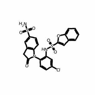 NS(=O)(=O)c1ccc2c(c1)CC(=O)N2c1ccc(Cl)cc1NS(=O)(=O)c1cc2ccccc2o1